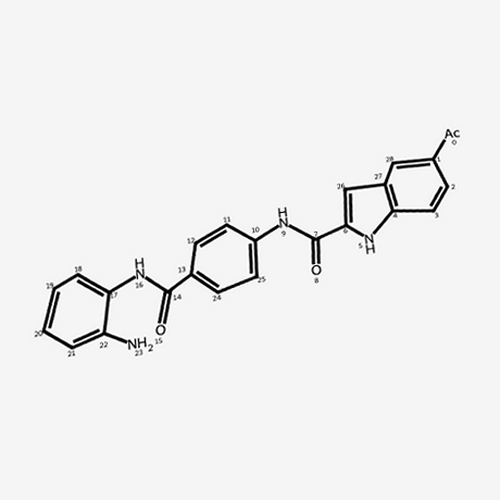 CC(=O)c1ccc2[nH]c(C(=O)Nc3ccc(C(=O)Nc4ccccc4N)cc3)cc2c1